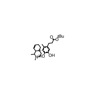 Cc1c(CCC(=O)OC(C)(C)C)cc(O)c(O)c1[C@@]12CCC=CC1C(C)N(C)CC2